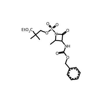 CCOC(=O)C(C)(C)COS(=O)(=O)N1C(=O)C(NC(=O)OCc2ccccc2)C1C